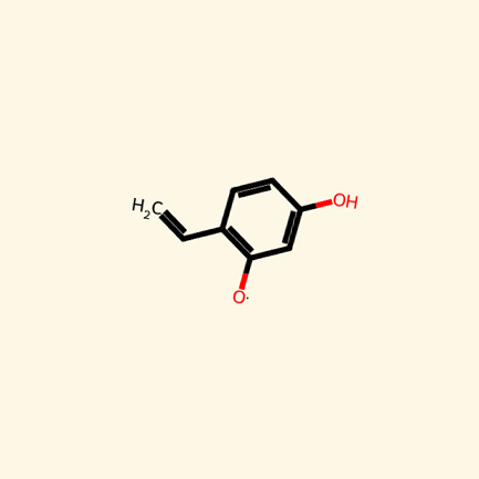 C=Cc1ccc(O)cc1[O]